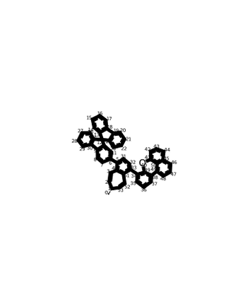 C[C@@H]1C=Cc2c(-c3ccc4c(c3)C3(c5ccccc5-c5ccccc53)c3ccccc3-4)ccc(-c3cccc4c3Oc3cccc5cccc-4c35)c2C=C1